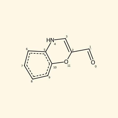 O=[C]C1=CNc2ccccc2O1